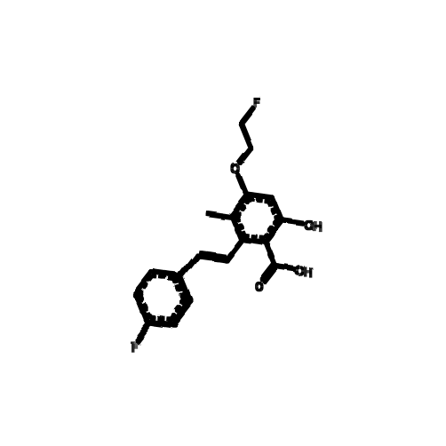 Cc1c(OCCF)cc(O)c(C(=O)O)c1C=Cc1ccc(F)cc1